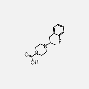 CC(Cc1ccccc1F)N1CCN(C(=O)O)CC1